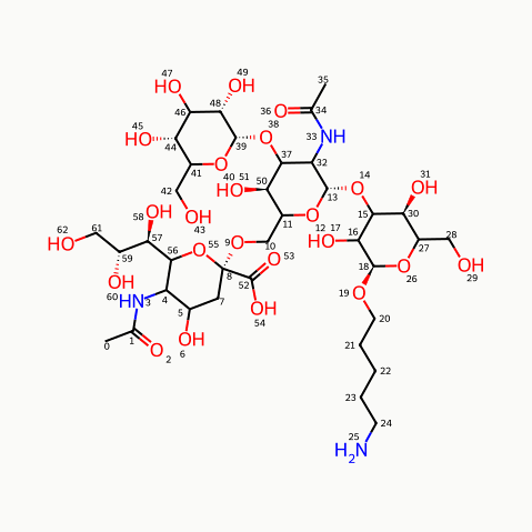 CC(=O)NC1C(O)C[C@](OCC2O[C@@H](OC3C(O)[C@H](OCCCCCN)OC(CO)[C@@H]3O)C(NC(C)=O)C(O[C@@H]3OC(CO)[C@H](O)C(O)[C@@H]3O)[C@@H]2O)(C(=O)O)OC1[C@H](O)[C@H](O)CO